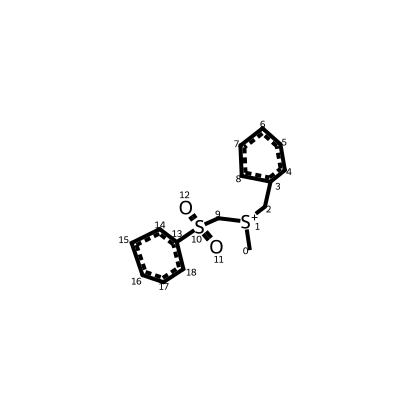 C[S+](Cc1ccccc1)CS(=O)(=O)c1ccccc1